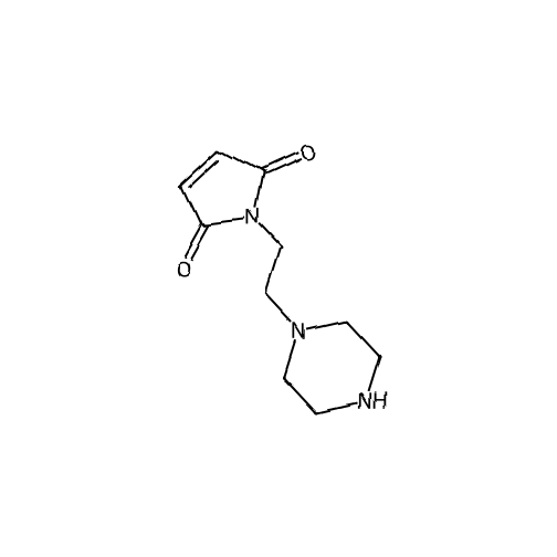 O=C1C=CC(=O)N1CCN1CCNCC1